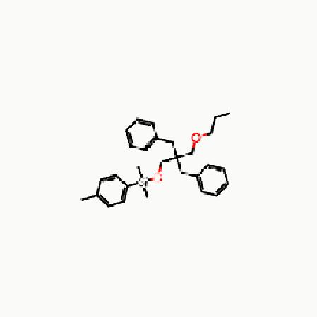 CCCOCC(CO[Si](C)(C)c1ccc(C)cc1)(Cc1ccccc1)Cc1ccccc1